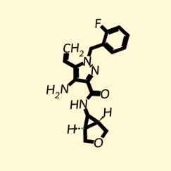 C=Cc1c(N)c(C(=O)NC2[C@H]3COC[C@@H]23)nn1Cc1ccccc1F